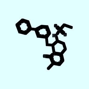 CCS(=O)(=O)NC1CCc2ccc(C)c(=O)n2C1Cc1cccc(-c2ccccc2)c1